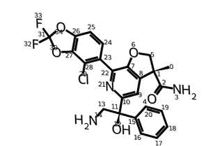 C[C@]1(C(N)=O)COc2c1cc([C@@](O)(CN)c1ccccc1)nc2-c1ccc2c(c1Cl)OC(F)(F)O2